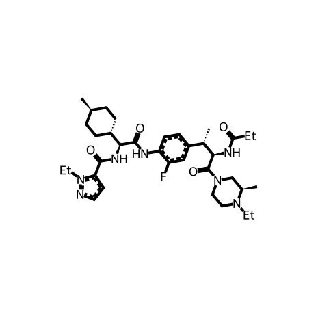 CCC(=O)N[C@@H](C(=O)N1CCN(CC)[C@H](C)C1)[C@@H](C)c1ccc(NC(=O)[C@@H](NC(=O)c2ccnn2CC)[C@H]2CC[C@H](C)CC2)c(F)c1